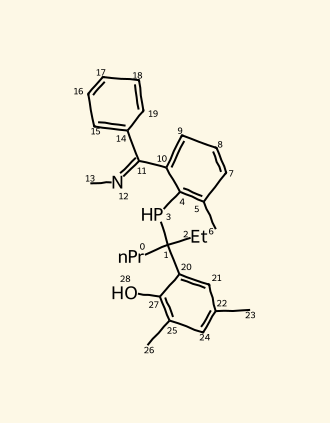 CCCC(CC)(Pc1c(C)cccc1/C(=N/C)c1ccccc1)c1cc(C)cc(C)c1O